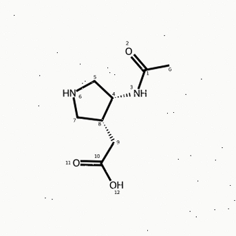 CC(=O)N[C@H]1CNC[C@H]1CC(=O)O